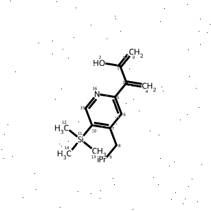 C=C(O)C(=C)c1cc(CC(C)C)c([Si](C)(C)C)cn1